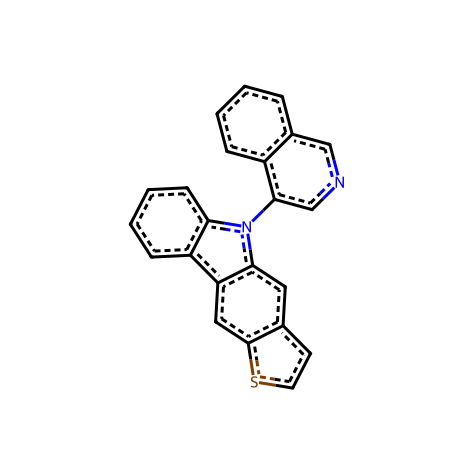 c1ccc2c(-n3c4ccccc4c4cc5sccc5cc43)cncc2c1